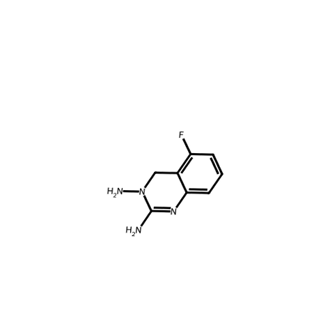 NC1=Nc2cccc(F)c2CN1N